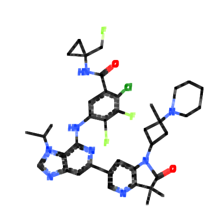 CC(C)n1cnc2cc(-c3cnc4c(c3)N(C3CC(C)(N5CCCCC5)C3)C(=O)C4(C)C)nc(Nc3cc(C(=O)NC4(CF)CC4)c(Cl)c(F)c3F)c21